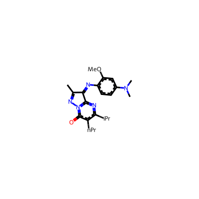 CCCc1c(C(C)C)nc2n(c1=O)N=C(C)C2=Nc1ccc(N(C)C)cc1OC